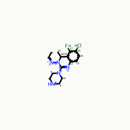 C/C=N\N1C(N2CCNCC2)=Nc2ccc(Cl)c(F)c2C1C